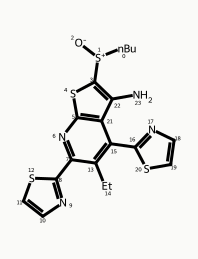 CCCC[S+]([O-])c1sc2nc(-c3nccs3)c(CC)c(-c3nccs3)c2c1N